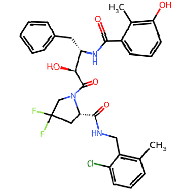 Cc1cccc(Cl)c1CNC(=O)[C@@H]1CC(F)(F)CN1C(=O)[C@@H](O)[C@H](Cc1ccccc1)NC(=O)c1cccc(O)c1C